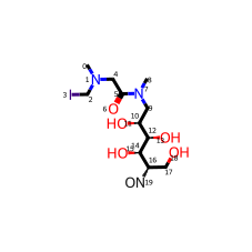 CN(CI)CC(=O)N(C)C[C@H](O)[C@@H](O)[C@H](O)[C@@H](CO)N=O